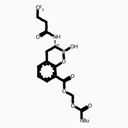 CCCCC(=O)OCOC(=O)c1cccc2c1OB(O)[C@@H](NC(=O)CCC(F)(F)F)C2